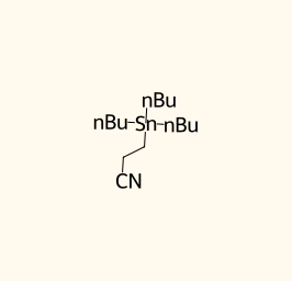 CCC[CH2][Sn]([CH2]CC#N)([CH2]CCC)[CH2]CCC